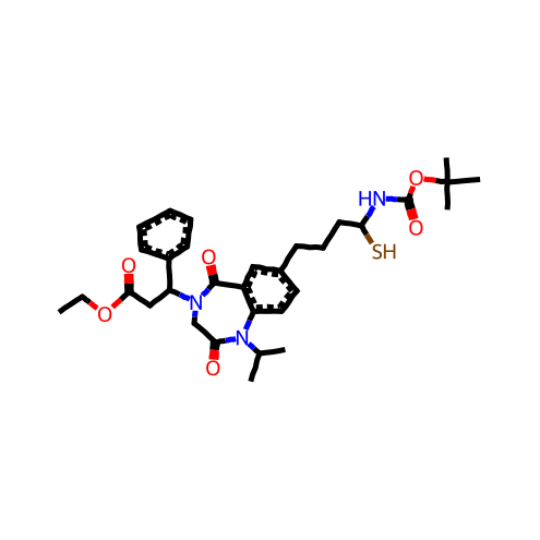 CCOC(=O)CC(c1ccccc1)N1CC(=O)N(C(C)C)c2ccc(CCCC(S)NC(=O)OC(C)(C)C)cc2C1=O